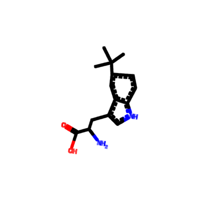 CC(C)(C)c1ccc2[nH]cc(CC(N)C(=O)O)c2c1